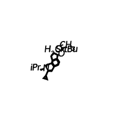 CC(C)CN1Cc2c(ccc3c2CCC3O[Si](C)(C)C(C)(C)C)C=C1C1CC1